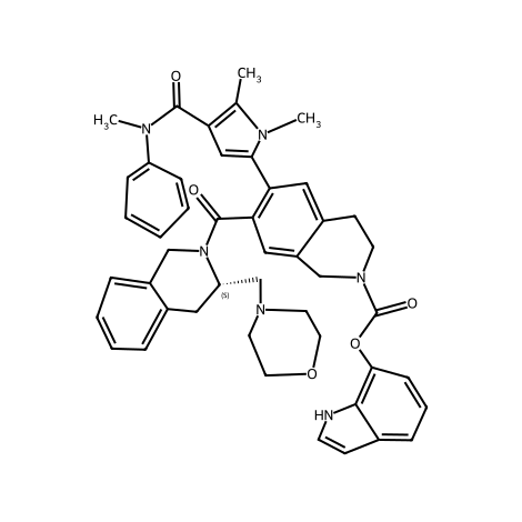 Cc1c(C(=O)N(C)c2ccccc2)cc(-c2cc3c(cc2C(=O)N2Cc4ccccc4C[C@H]2CN2CCOCC2)CN(C(=O)Oc2cccc4cc[nH]c24)CC3)n1C